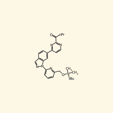 CCCC(=O)c1nccc(-c2ccc3cnn(-c4cccc(CO[Si](C)(C)C(C)(C)C)n4)c3c2)n1